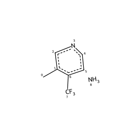 Cc1cnccc1C(F)(F)F.N